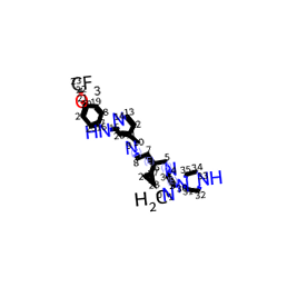 C=N/C(=C/N=C\C(=C\C=N/Cc1ccnc(Nc2ccc(OCC(F)(F)F)cc2)c1)C1CC1)N1CCNCC1